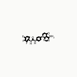 Nc1ncnc2c1c(=O)ccn2-c1ccc(NC(=O)Nc2ccc(F)c(F)c2F)cc1